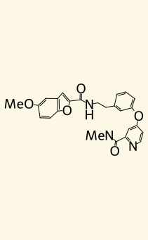 CNC(=O)c1cc(Oc2cccc(CCNC(=O)c3cc4cc(OC)ccc4o3)c2)ccn1